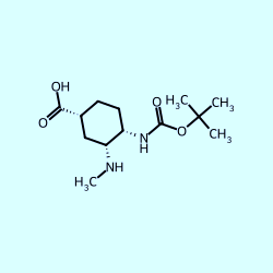 CN[C@@H]1C[C@H](C(=O)O)CC[C@@H]1NC(=O)OC(C)(C)C